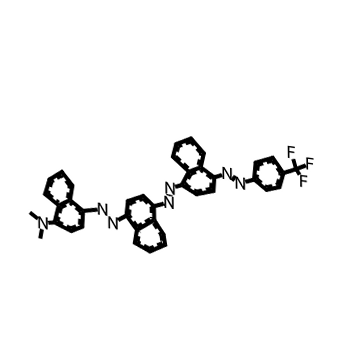 CN(C)c1ccc(/N=N/c2ccc(/N=N/c3ccc(/N=N/c4ccc(C(F)(F)F)cc4)c4ccccc34)c3ccccc23)c2ccccc12